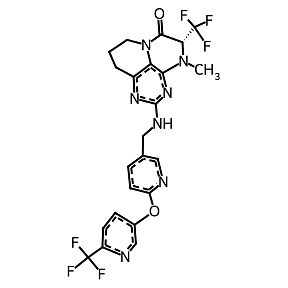 CN1c2nc(NCc3ccc(Oc4ccc(C(F)(F)F)nc4)nc3)nc3c2N(CCC3)C(=O)[C@@H]1C(F)(F)F